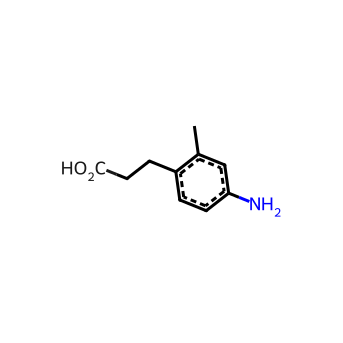 Cc1cc(N)ccc1CCC(=O)O